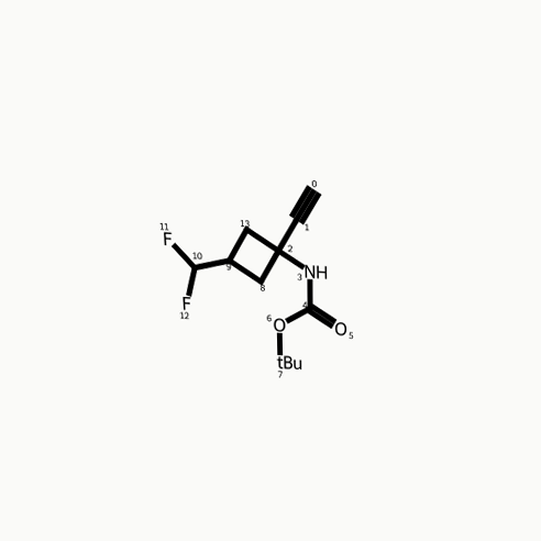 C#CC1(NC(=O)OC(C)(C)C)CC(C(F)F)C1